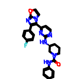 O=C(Nc1ccccc1)N1CCC[C@@H](Nc2nccc(-c3c(-c4ccc(F)cc4)nc4occn34)n2)C1